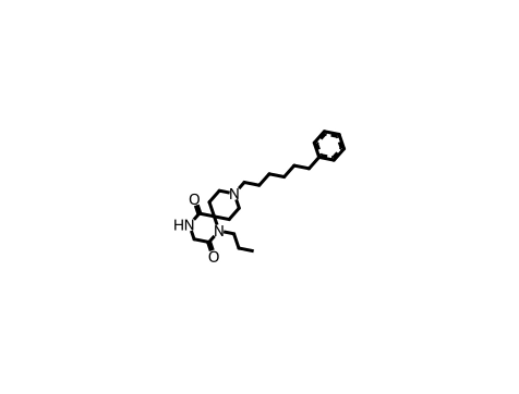 CCCN1C(=O)CNC(=O)C12CCN(CCCCCCc1ccccc1)CC2